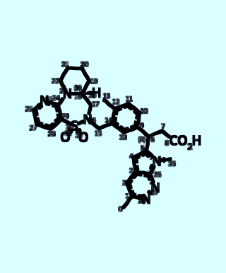 Cc1cc2cc([C@H](CC(=O)O)c3ccc(C)c(CN4C[C@H]5CCCCN5c5ncccc5S4(=O)=O)c3)n(C)c2nn1